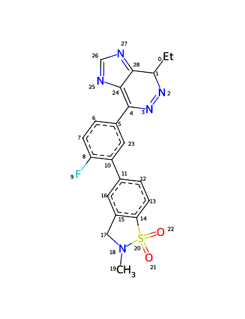 CCC1N=NC(c2ccc(F)c(-c3ccc4c(c3)CN(C)S4(=O)=O)c2)=C2N=CN=C21